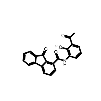 CC(=O)c1cccc(NC(=O)c2cccc3c2C(=O)c2ccccc2-3)c1O